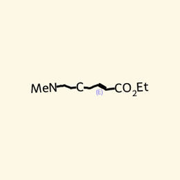 CCOC(=O)/C=C/CCCCNC